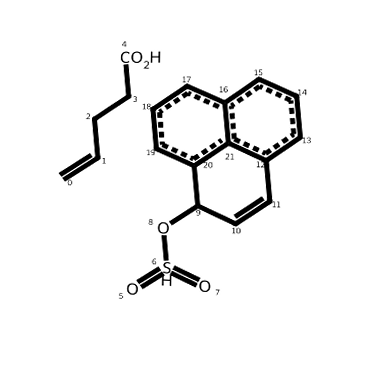 C=CCCC(=O)O.O=[SH](=O)OC1C=Cc2cccc3cccc1c23